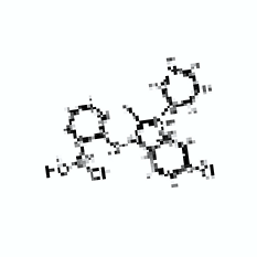 Cc1c(Sc2ccccc2B(O)O)c2ccc(Cl)cc2n1-c1cccnc1